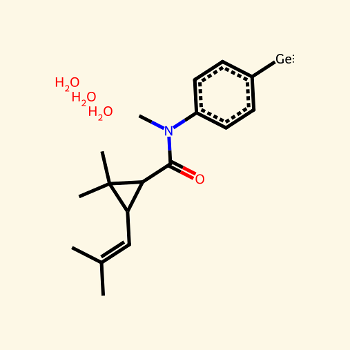 CC(C)=CC1C(C(=O)N(C)c2cc[c]([Ge])cc2)C1(C)C.O.O.O